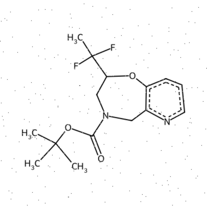 CC(C)(C)OC(=O)N1Cc2ncccc2OC(C(C)(F)F)C1